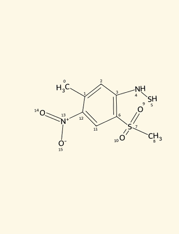 Cc1cc(NS)c(S(C)(=O)=O)cc1[N+](=O)[O-]